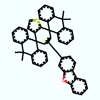 CC1(C)c2ccccc2C2(c3ccccc31)c1cc(-c3ccc4c(c3)oc3ccccc34)sc1C1(c3ccccc3C(C)(C)c3ccccc31)c1ccsc12